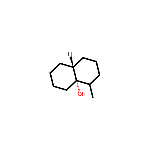 CC1CCC[C@H]2CCCC[C@]12O